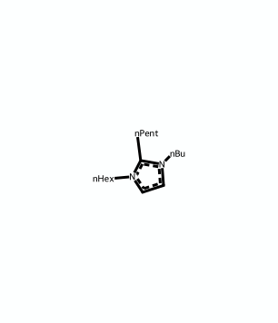 CCCCCC[n+]1ccn(CCCC)c1CCCCC